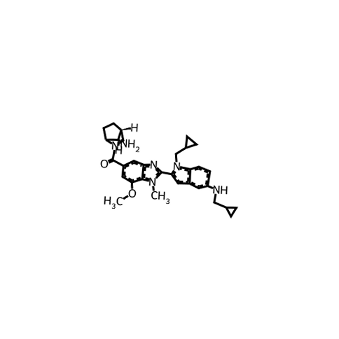 COc1cc(C(=O)N2C[C@H]3CCC2[C@H]3N)cc2nc(-c3cc4cc(NCC5CC5)ccc4n3CC3CC3)n(C)c12